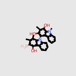 Bc1c(C)c(C)c2c(c1O)c1ccccc1n2-c1c(O)c(C)c(O)c2c1c1ccccc1n2C